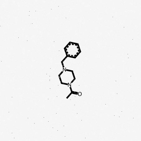 CC(=O)N1CCN(Cc2ccccc2)CC1